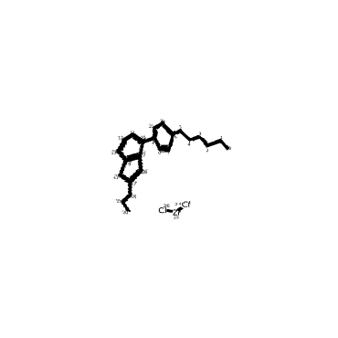 CCCCCCc1ccc(-c2cccc3c2C=C(CCC)[CH]3)cc1.[Cl][Zr][Cl]